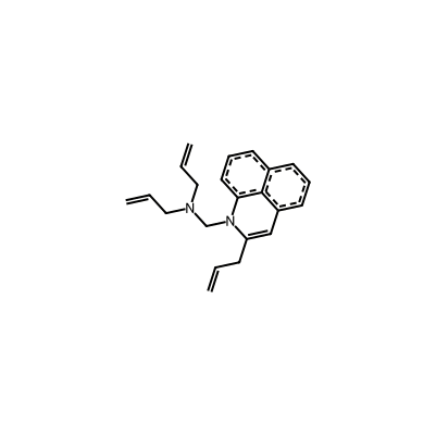 C=CCC1=Cc2cccc3cccc(c23)N1CN(CC=C)CC=C